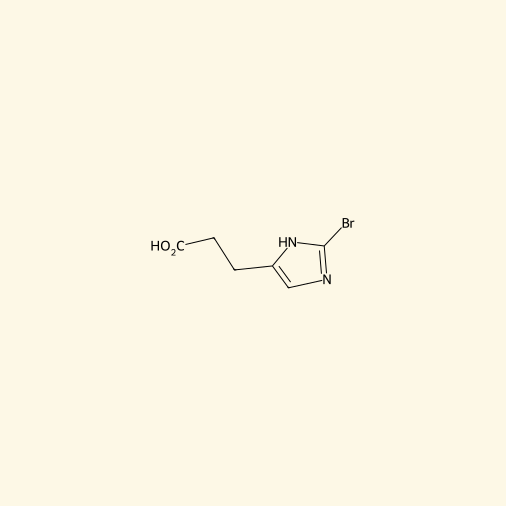 O=C(O)CCc1cnc(Br)[nH]1